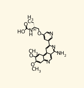 CC[C@H](COc1cncc(-c2cc3c(cnc4cc(OC)c(OC)cc43)c(N)n2)c1)NC(=O)O